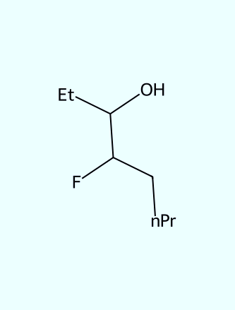 [CH2]CC(O)C(F)CCCC